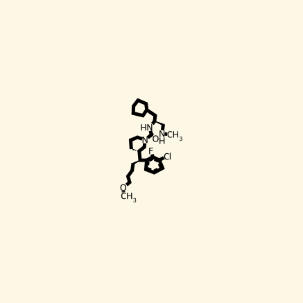 CNC[C@H](CC1CCCCC1)NC(=O)N1CCC[C@@H]([C@H](CCCCOC)c2cccc(Cl)c2F)C1